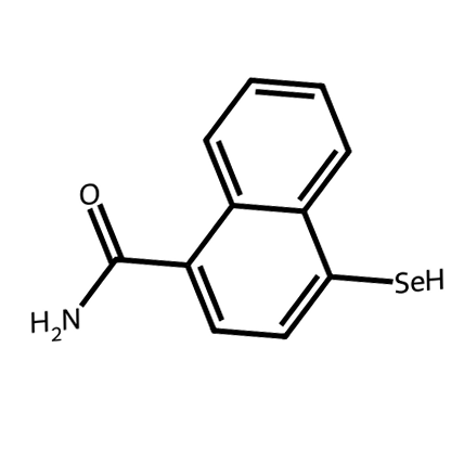 NC(=O)c1ccc([SeH])c2ccccc12